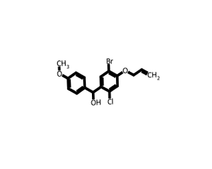 C=CCOc1cc(Cl)c(C(O)c2ccc(OC)cc2)cc1Br